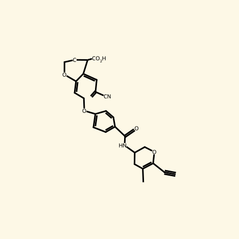 C#CC1=C(C)CC(NC(=O)c2ccc(OC/C=C3/OCCC(C(=O)O)/C3=C/C(=C)C#N)cc2)CO1